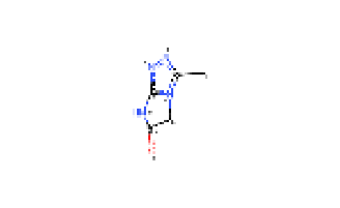 Cc1nnc2n1CC(=O)N2